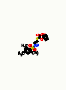 Cc1cc(C)c(S(=O)(=O)NCCSC(Oc2ccccc2)C(=O)O)c(C)c1